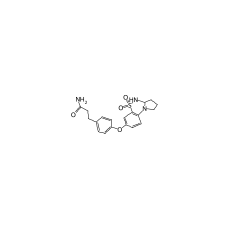 NC(=O)CCc1ccc(Oc2ccc3c(c2)S(=O)(=O)NC2CCCN32)cc1